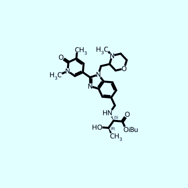 Cc1cc(-c2nc3cc(CN[C@H](C(=O)OCC(C)C)[C@@H](C)O)ccc3n2CC2COCCN2C)cn(C)c1=O